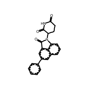 O=C1CCC(N2C(=O)c3cc(-c4ccccc4)cc4cccc2c34)C(=O)N1